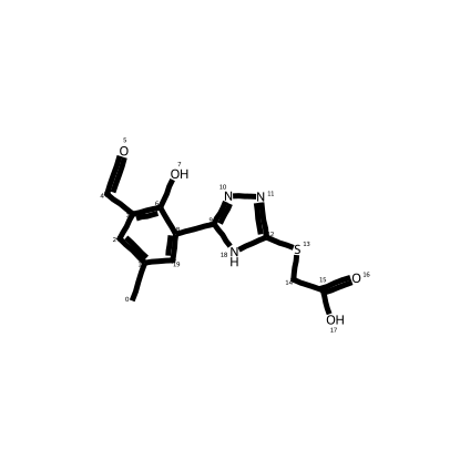 Cc1cc(C=O)c(O)c(-c2nnc(SCC(=O)O)[nH]2)c1